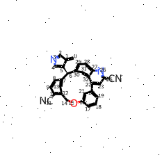 C=C1C=NC=C1[C@@H]1c2ccc(C#N)c(c2)COc2cccc(c2)-c2cc(C#N)nc3ccc1cc23